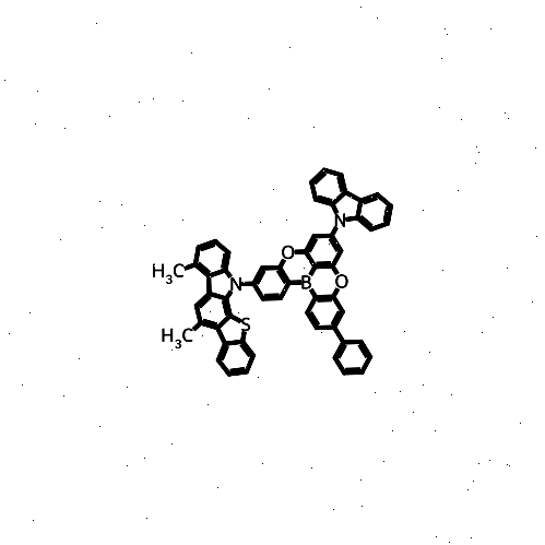 Cc1cc2c3c(C)cccc3n(-c3ccc4c(c3)Oc3cc(-n5c6ccccc6c6ccccc65)cc5c3B4c3ccc(-c4ccccc4)cc3O5)c2c2sc3ccccc3c12